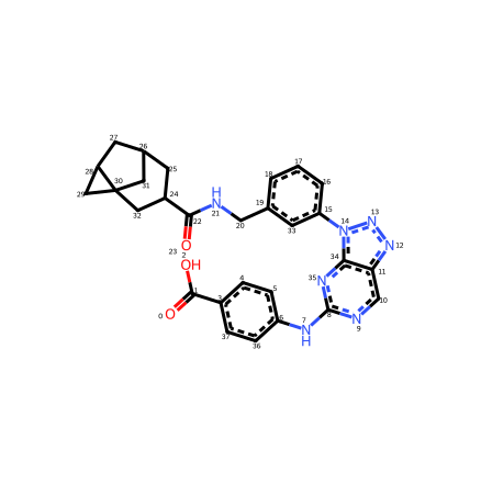 O=C(O)c1ccc(Nc2ncc3nnn(-c4cccc(CNC(=O)C5CC6CC7CC7(C6)C5)c4)c3n2)cc1